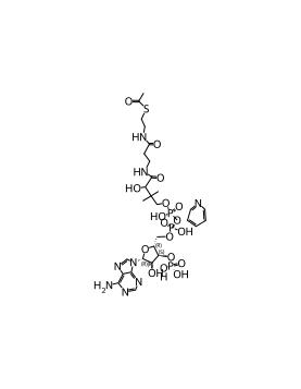 CC(=O)SCCNC(=O)CCNC(=O)C(O)C(C)(C)COP(=O)(O)OP(=O)(O)OC[C@H]1O[C@@H](n2cnc3c(N)ncnc32)[C@H](O)[C@@H]1OP(=O)(O)O.c1ccncc1